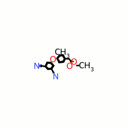 CCOC(=O)Cc1ccc(Oc2cc(C#N)cc(C#N)c2)c(C)c1